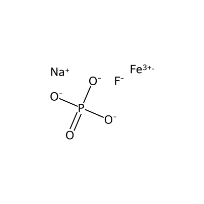 O=P([O-])([O-])[O-].[F-].[Fe+3].[Na+]